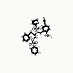 N#Cc1ccc(N)c(CN([C@@H](COS(=O)(=O)c2ccccc2)Cc2ccccc2)S(=O)(=O)c2cccs2)c1